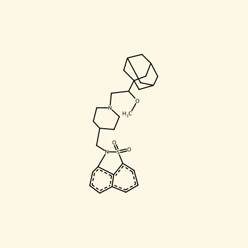 COC(CN1CCC(CN2c3cccc4cccc(c34)S2(=O)=O)CC1)C12CC3CC(CC(C3)C1)C2